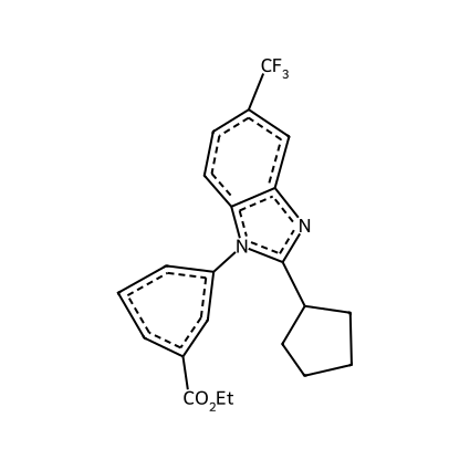 CCOC(=O)c1cccc(-n2c(C3CCCC3)nc3cc(C(F)(F)F)ccc32)c1